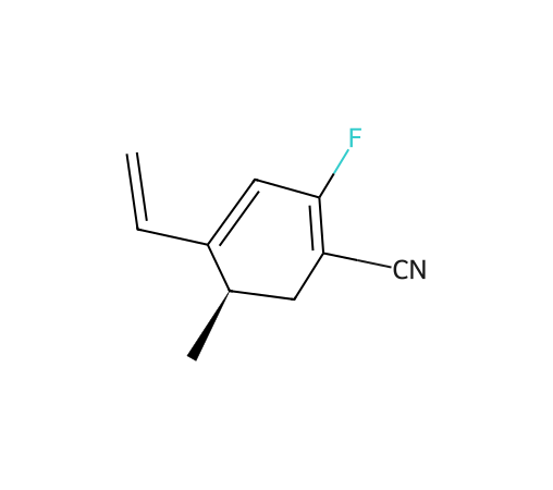 C=CC1=CC(F)=C(C#N)C[C@H]1C